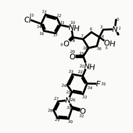 CN(C)CC1(O)CC(C(=O)Nc2ccc(Cl)cc2)C(C(=O)Nc2ccc(-n3ccccc3=O)cc2F)C1